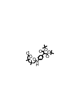 COC(=O)CC(C)(C)CC(C)(C)CC(=O)Nc1ccc(C(C(=O)OC(C)(C)C)C(=O)OC(C)(C)C)cc1